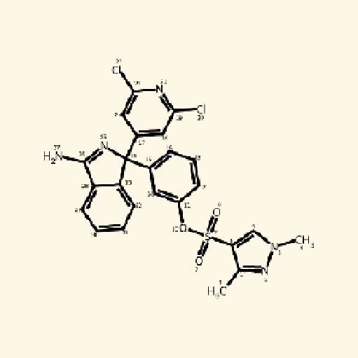 Cc1nn(C)cc1S(=O)(=O)Oc1cccc(C2(c3cc(Cl)nc(Cl)c3)N=C(N)c3ccccc32)c1